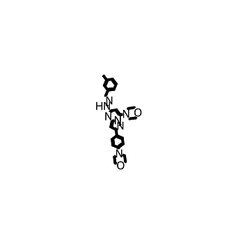 Cc1cccc(C=NNc2cc(N3CCOCC3)n3nc(-c4ccc(N5CCOCC5)cc4)cc3n2)c1